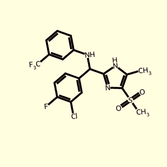 Cc1[nH]c(C(Nc2cccc(C(F)(F)F)c2)c2ccc(F)c(Cl)c2)nc1S(C)(=O)=O